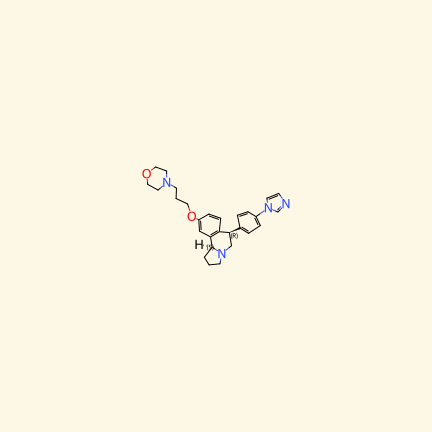 c1cn(-c2ccc([C@H]3CN4CCC[C@H]4c4cc(OCCCN5CCOCC5)ccc43)cc2)cn1